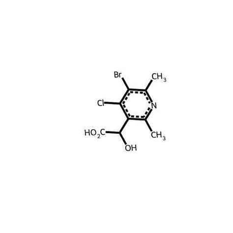 Cc1nc(C)c(C(O)C(=O)O)c(Cl)c1Br